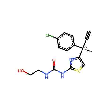 C#C[C@](C)(c1ccc(Cl)cc1)c1csc(NC(=O)NCCO)n1